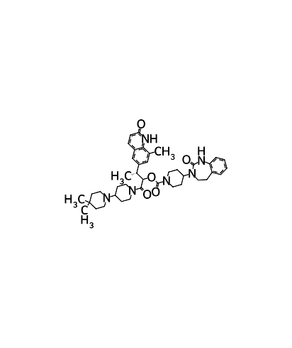 Cc1cc([C@@H](C)C(OC(=O)N2CCC(N3CCc4ccccc4NC3=O)CC2)C(=O)N2CCC(N3CCC(C)(C)CC3)CC2)cc2ccc(=O)[nH]c12